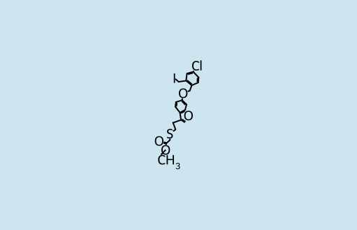 CCOC(=O)CSCCc1coc2cc(OCc3ccc(Cl)cc3CI)ccc12